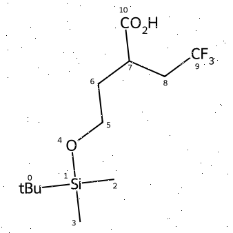 CC(C)(C)[Si](C)(C)OCCC(CC(F)(F)F)C(=O)O